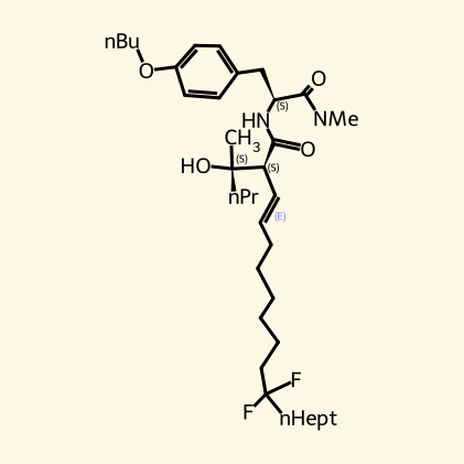 CCCCCCCC(F)(F)CCCCCC/C=C/[C@H](C(=O)N[C@@H](Cc1ccc(OCCCC)cc1)C(=O)NC)[C@@](C)(O)CCC